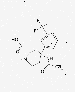 CC(=O)NC1(c2cccc(C(F)(F)F)c2)CCNCC1.O=CO